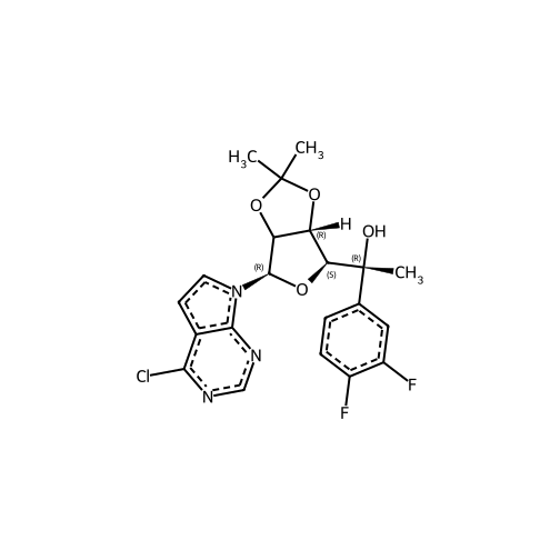 CC1(C)OC2[C@H](n3ccc4c(Cl)ncnc43)O[C@H]([C@](C)(O)c3ccc(F)c(F)c3)[C@H]2O1